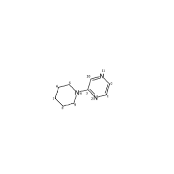 c1cnc(N2CCCCC2)cn1